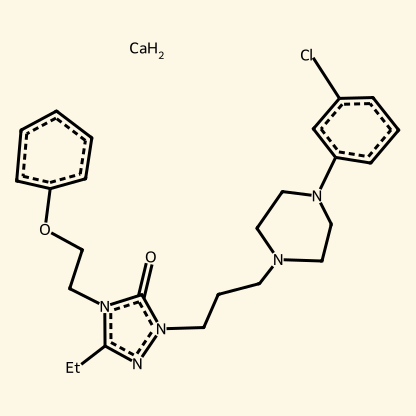 CCc1nn(CCCN2CCN(c3cccc(Cl)c3)CC2)c(=O)n1CCOc1ccccc1.[CaH2]